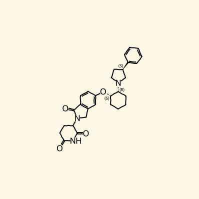 O=C1CCC(N2Cc3cc(O[C@H]4CCCC[C@H]4N4CC[C@@H](c5ccccc5)C4)ccc3C2=O)C(=O)N1